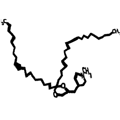 CCCCCCCC/C=C\CCCCCCCCC1(CCCCCCCC/C=C\CCCCCCCC)OCC(CC2CCN(C)CC2)O1